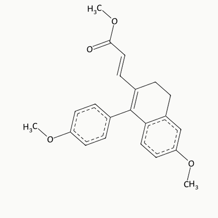 COC(=O)C=CC1=C(c2ccc(OC)cc2)c2ccc(OC)cc2CC1